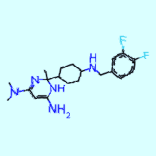 CN(C)C1=NC(C)(C2CCC(NCc3ccc(F)c(F)c3)CC2)NC(N)=C1